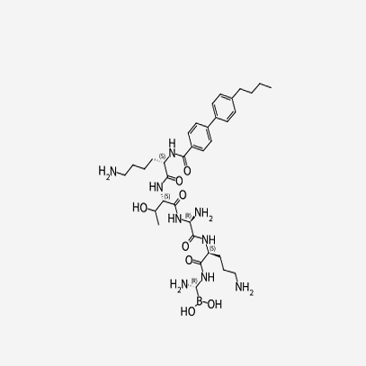 CCCCc1ccc(-c2ccc(C(=O)N[C@@H](CCCCN)C(=O)N[C@H](C(=O)N[C@@H](N)C(=O)N[C@@H](CCCN)C(=O)N[C@@H](N)B(O)O)C(C)O)cc2)cc1